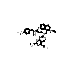 CCOc1ccc2ccccc2c1CN(CCC(=O)NCc1ccc(N)cc1)c1ncc2c(N)nc(N)nc2n1